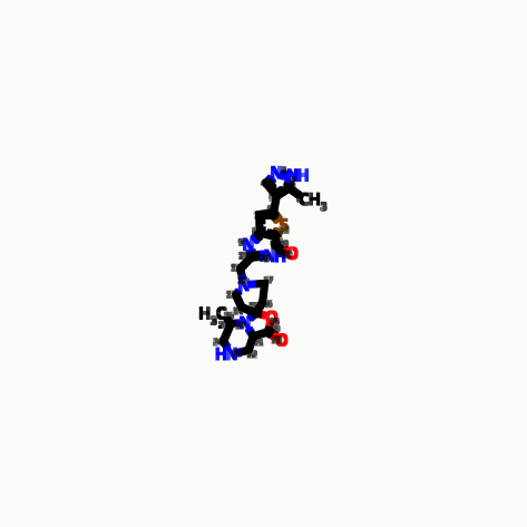 Cc1[nH]ncc1-c1cc2nc(CN3CCC4(CC3)OC(=O)C3CNCC(C)N34)[nH]c(=O)c2s1